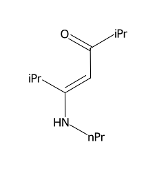 CCCNC(=CC(=O)C(C)C)C(C)C